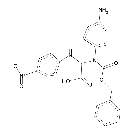 Nc1ccc(N(C(=O)OCc2ccccc2)C(Nc2ccc([N+](=O)[O-])cc2)C(=O)O)cc1